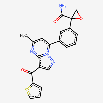 Cc1cc(-c2cccc(C3(C(N)=O)CO3)c2)n2ncc(C(=O)c3cccs3)c2n1